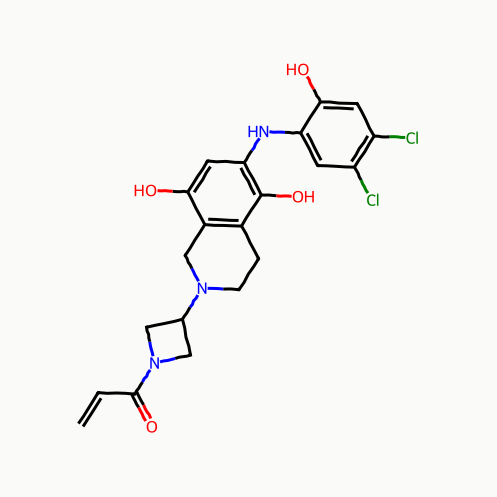 C=CC(=O)N1CC(N2CCc3c(O)c(Nc4cc(Cl)c(Cl)cc4O)cc(O)c3C2)C1